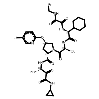 CCC[C@H](NC(=O)[C@@H]1C[C@@H](Oc2ccc(Cl)cn2)CN1C(=O)[C@@H](NC(=O)[C@@H](NC(=O)C(=O)NCC(C)C)C1CCCCC1)C(C)(C)C)C(=O)C(=O)NC1CC1